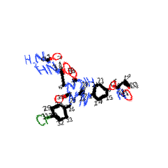 NC(=O)NC(=O)Cn1c(=O)[nH]/c(=N\c2ccc(Oc3ccon3)cc2)n(Cc2ccc(Cl)cc2)c1=O